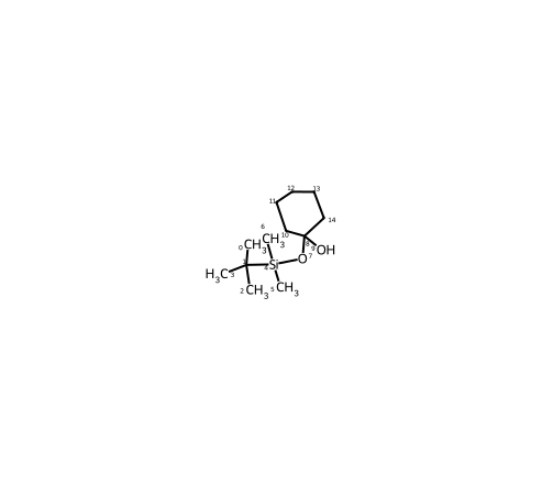 CC(C)(C)[Si](C)(C)OC1(O)CCCCC1